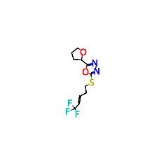 FC(F)(F)C=CCCSc1nnc(C2CCCO2)o1